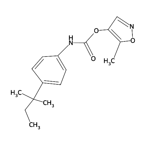 CCC(C)(C)c1ccc(NC(=O)Oc2cnoc2C)cc1